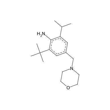 CC(C)c1cc(CN2CCOCC2)cc(C(C)(C)C)c1N